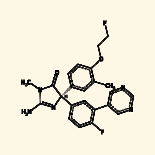 Cc1cc([C@]2(c3ccc(F)c(-c4cncnc4)c3)N=C(N)N(C)C2=O)ccc1OCCF